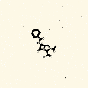 CC(=O)N1CC2[C@@H](NC(=O)c3ccccc3)C(=O)N2C1C(=O)O